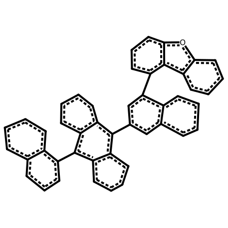 c1ccc2c(-c3c4ccccc4c(-c4cc(-c5cccc6oc7ccccc7c56)c5ccccc5c4)c4ccccc34)cccc2c1